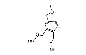 COCc1cnc(COO)c(COO)c1